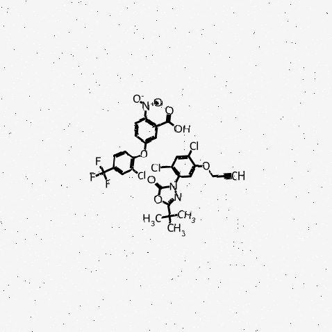 C#CCOc1cc(-n2nc(C(C)(C)C)oc2=O)c(Cl)cc1Cl.O=C(O)c1cc(Oc2ccc(C(F)(F)F)cc2Cl)ccc1[N+](=O)[O-]